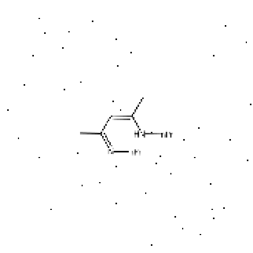 CCC/N=C(C)\C=C(\C)NCCC